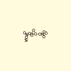 C[Si](C)(C)c1ccc(N(c2ccccc2)c2ccc3c(c2)oc2c4ccc(-c5ccc(N(c6ccccc6)c6ccccc6-c6ccccc6)cc5)cc4c4ccccc4c32)cc1